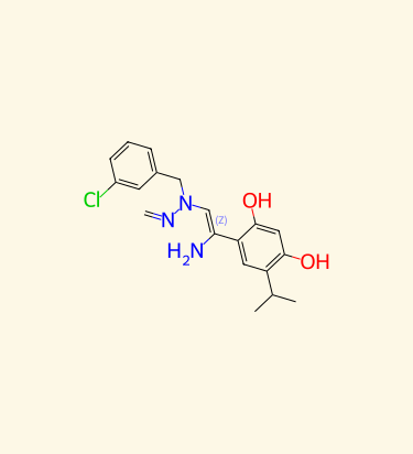 C=NN(/C=C(\N)c1cc(C(C)C)c(O)cc1O)Cc1cccc(Cl)c1